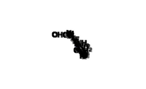 N/C(=C\N(N)CC(F)CCn1cc(C=O)nn1)C(=O)NCc1ncccc1F